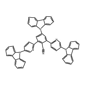 N#Cc1c(-c2ccc(-n3c4ccccc4c4ccccc43)cn2)cc(-n2c3ccccc3c3ccccc32)cc1-c1ccc(-n2c3ccccc3c3ccccc32)cn1